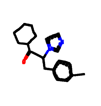 Cc1ccc(CC(C(=O)C2CCCCC2)n2ccnc2)cc1